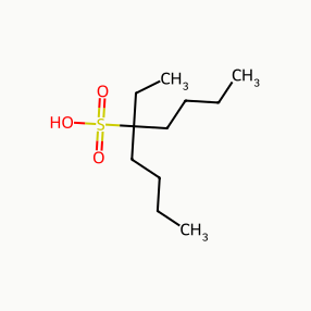 CCCCC(CC)(CCCC)S(=O)(=O)O